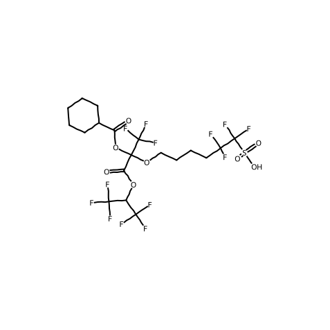 O=C(OC(OCCCCC(F)(F)C(F)(F)S(=O)(=O)O)(C(=O)OC(C(F)(F)F)C(F)(F)F)C(F)(F)F)C1CCCCC1